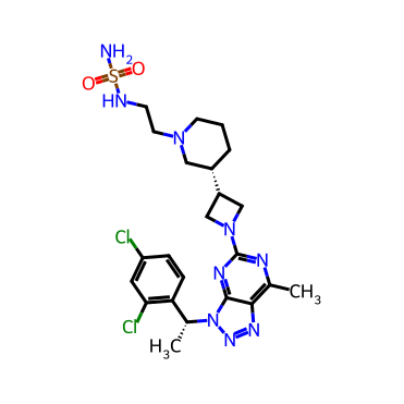 Cc1nc(N2CC([C@H]3CCCN(CCNS(N)(=O)=O)C3)C2)nc2c1nnn2[C@H](C)c1ccc(Cl)cc1Cl